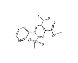 COC(=O)c1cc(S(C)(=O)=O)c(-c2cccnc2)cc1C(F)F